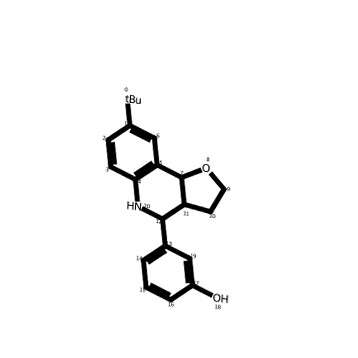 CC(C)(C)c1ccc2c(c1)C1OCCC1C(c1cccc(O)c1)N2